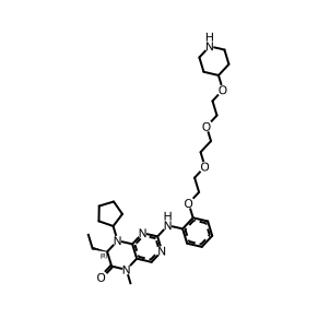 CC[C@@H]1C(=O)N(C)c2cnc(Nc3ccccc3OCCOCCOCCOC3CCNCC3)nc2N1C1CCCC1